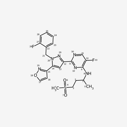 CC(CCS(C)(=O)=O)Nc1nc(-c2cc(-c3ccon3)n(Cc3ccccc3F)n2)ncc1F